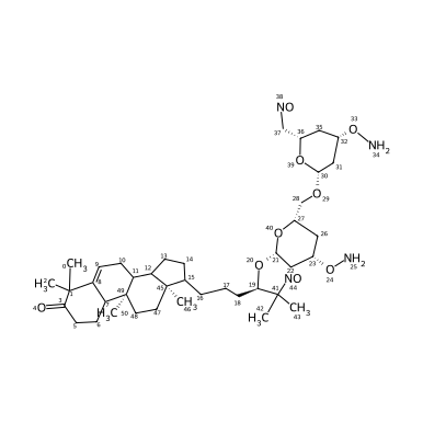 CC1(C)C(=O)CCC2C1=CCC1C3CCC(CCC[C@@H](O[C@H]4C[C@@H](ON)C[C@@H](CO[C@H]5C[C@@H](ON)C[C@@H](CN=O)O5)O4)C(C)(C)N=O)[C@@]3(C)CC[C@@]21C